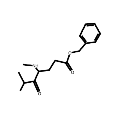 CNC(CCC(=O)OCc1ccccc1)C(=O)C(C)C